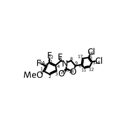 COc1ccc(C(F)N2CC(c3ccc(Cl)c(Cl)c3)OC2=O)c(F)c1F